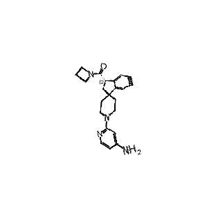 Nc1ccnc(N2CCC3(CC2)C[C@H](C(=O)N2CCC2)c2ccccc23)c1